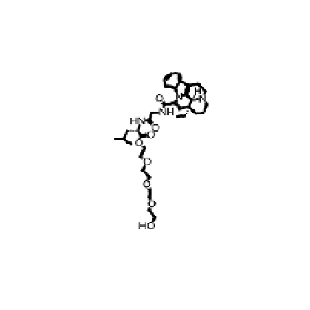 CC[C@@]12C=C(C(=O)NCC(=O)N[C@@H](CC(C)C)C(=O)OCCOCCOCCOCCO)n3c4c(c5ccccc53)CCN(CCC1)[C@H]42